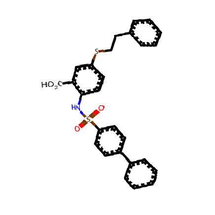 O=C(O)c1cc(SCCc2ccccc2)ccc1NS(=O)(=O)c1ccc(-c2ccccc2)cc1